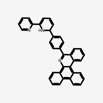 C1=CC(c2ccc(-c3nc4c5ccccc5c5ccccc5c4c4ccccc34)cc2)NC(c2ccccn2)=C1